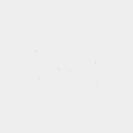 COc1cc(F)c(-c2cccc(C(CC(=O)O)c3ncc(C)s3)c2)cc1F